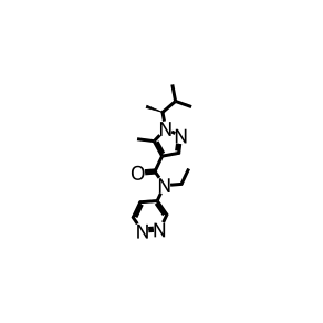 CCN(C(=O)c1cnn([C@@H](C)C(C)C)c1C)c1ccnnc1